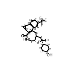 O=C1NCCC(CC(F)(F)[C@H]2CC[C@H](O)CC2)CC2=C1C1CC1c1ccc(C(F)(F)F)cc12